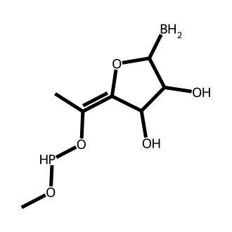 BC1O/C(=C(\C)OPOC)C(O)C1O